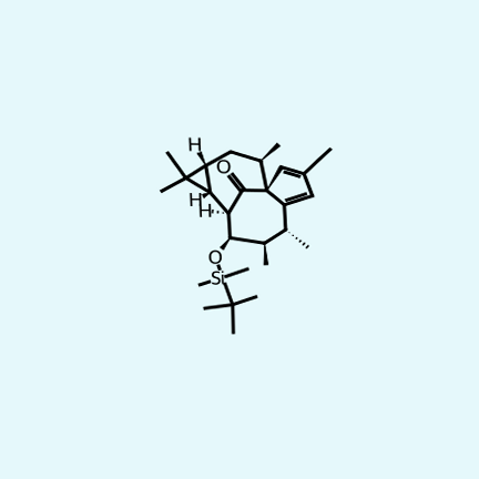 CC1=C[C@]23C(=O)[C@@H]([C@H](O[Si](C)(C)C(C)(C)C)[C@H](C)[C@@H](C)C2=C1)[C@H]1[C@@H](C[C@H]3C)C1(C)C